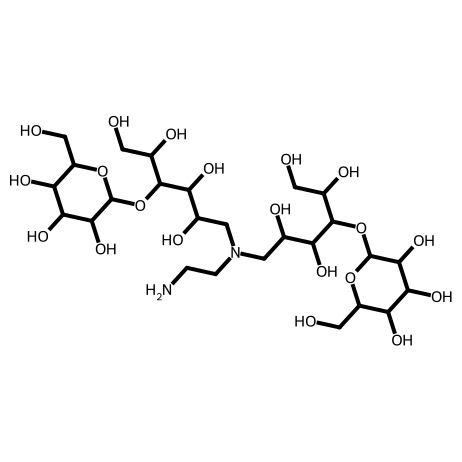 NCCN(CC(O)C(O)C(OC1OC(CO)C(O)C(O)C1O)C(O)CO)CC(O)C(O)C(OC1OC(CO)C(O)C(O)C1O)C(O)CO